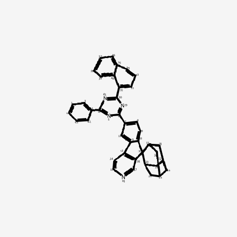 c1ccc(-c2nc(-c3ccc4c(c3)-c3ccncc3C43C4CC5CC(C4)CC3C5)nc(-c3cccc4ccccc34)n2)cc1